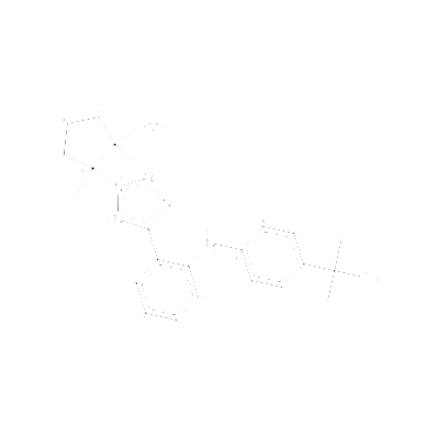 COC1(C)CCCC1(C)n1nnc(-c2ccccc2Nc2ccc(C(C)(C)F)cc2)n1